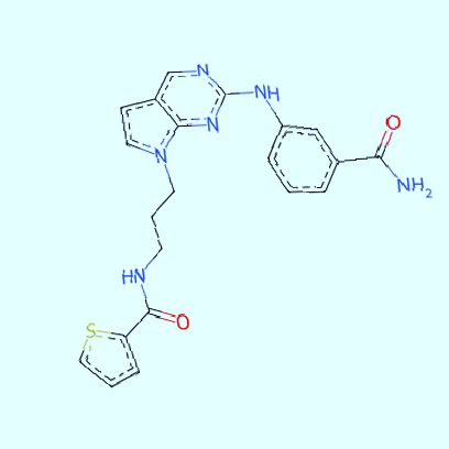 NC(=O)c1cccc(Nc2ncc3ccn(CCCNC(=O)c4cccs4)c3n2)c1